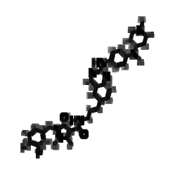 Cc1c(C(=O)NCC=Cc2ccc3nc(Nc4ccc(N(C)C5CCN(C)CC5)cc4)ncc3c2)c(=O)n(Cc2ccc(F)c(F)c2)n1C